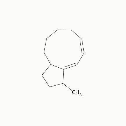 CC1CCC2CCCCC=CC=C12